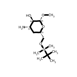 CO[C@@H]1O[C@H](CO[Si](C)(C)C(C)(C)C)C[C@H](N)[C@H]1O